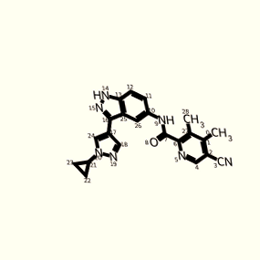 Cc1c(C#N)cnc(C(=O)Nc2ccc3[nH]nc(-c4cnn(C5CC5)c4)c3c2)c1C